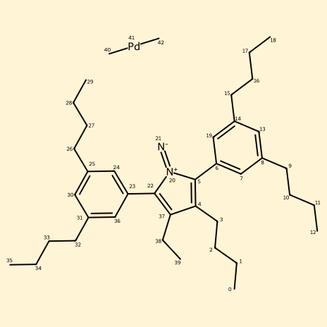 CCCCC1=C(c2cc(CCCC)cc(CCCC)c2)[N+](=[N-])C(c2cc(CCCC)cc(CCCC)c2)=C1CC.[CH3][Pd][CH3]